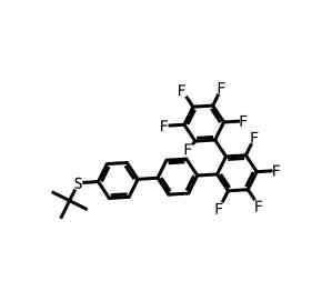 CC(C)(C)Sc1ccc(-c2ccc(-c3c(F)c(F)c(F)c(F)c3-c3c(F)c(F)c(F)c(F)c3F)cc2)cc1